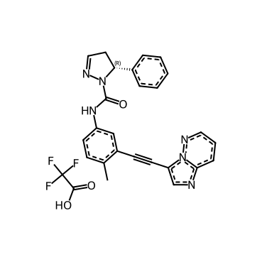 Cc1ccc(NC(=O)N2N=CC[C@@H]2c2ccccc2)cc1C#Cc1cnc2cccnn12.O=C(O)C(F)(F)F